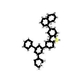 c1ccc(-c2cc(-c3ccccc3)cc(-c3ccc4sc5ccc(-c6cccc7ccccc67)cc5c4c3)c2)cc1